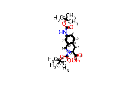 CC(C)(C)OC(=O)Nc1ccc2c(c1)CN(C(=O)OC(C)(C)C)C(C(=O)O)C2